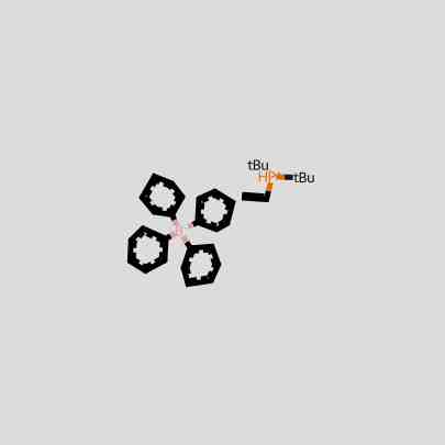 C=C[PH+](C(C)(C)C)C(C)(C)C.c1ccc([B-](c2ccccc2)(c2ccccc2)c2ccccc2)cc1